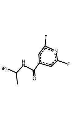 CC(C)C(C)NC(=O)c1cc(F)nc(F)c1